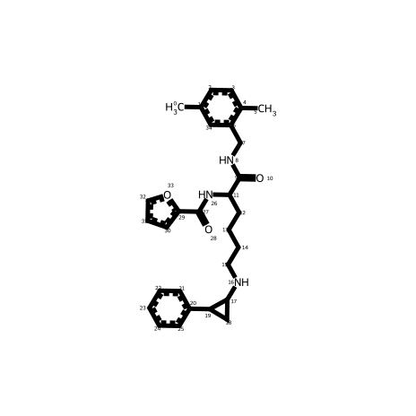 Cc1ccc(C)c(CNC(=O)C(CCCCNC2CC2c2ccccc2)NC(=O)c2ccco2)c1